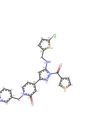 O=C(c1ccsc1)n1nc(-c2ccn(Cc3cccnc3)c(=O)c2)cc1NCc1ccc(Cl)s1